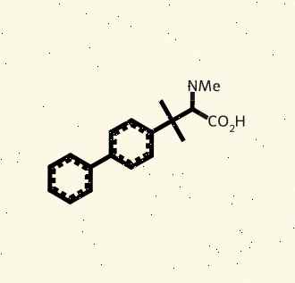 CNC(C(=O)O)C(C)(C)c1ccc(-c2ccccc2)cc1